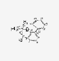 CC1(C)OC(=O)c2cccc(-c3ccccc3)c2O1